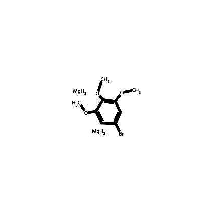 COc1cc(Br)cc(OC)c1OC.[MgH2].[MgH2]